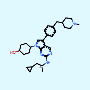 C[C@@H](CC1CC1)Nc1ncc2c(-c3ccc(CC4CCN(C)CC4)cc3)cn(C3CCC(O)CC3)c2n1